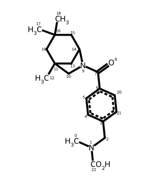 CN(Cc1ccc(C(=O)N2CC3(C)CC2CC(C)(C)C3)cc1)C(=O)O